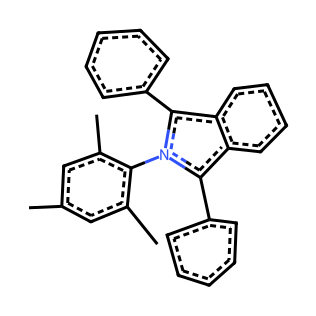 Cc1cc(C)c(-n2c(-c3ccccc3)c3ccccc3c2-c2ccccc2)c(C)c1